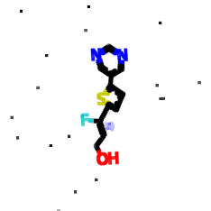 OC/C=C(\F)c1ccc(-c2cncnc2)s1